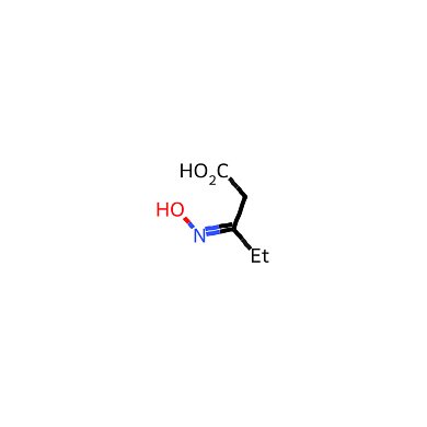 CCC(CC(=O)O)=NO